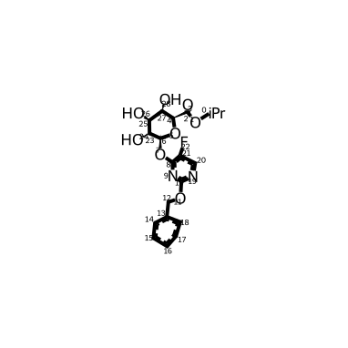 CC(C)OC(=O)[C@H]1O[C@@H](Oc2nc(OCc3ccccc3)ncc2F)[C@H](O)[C@@H](O)[C@@H]1O